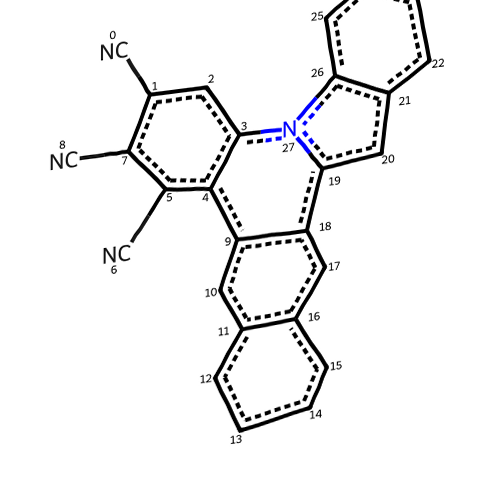 N#Cc1cc2c(c(C#N)c1C#N)c1cc3ccccc3cc1c1cc3ccccc3n12